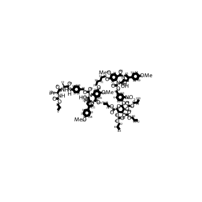 C=CCOC(=O)N[C@H](C(=O)N[C@@H](C)C(=O)Nc1ccc(COC(=O)N2c3cc(OCCCCCOc4cc5c(cc4OC)C(=O)N4C=C(c6ccc(OC)cc6)C[C@H]4[C@H](O)N5C(=O)OCc4ccc(O[C@@H]5O[C@H](C(=O)OCC=C)[C@@H](OC(=O)OCC=C)[C@H](OC(=O)OCC=C)[C@H]5OC(=O)OCC=C)c([N+](=O)[O-])c4)c(OC)cc3C(=O)N3C=C(c4ccc(OC)cc4)C[C@H]3[C@@H]2O)cc1)C(C)C